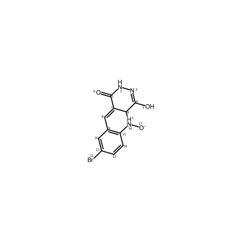 O=C1NN=C(O)C2C1=Cc1cc(Br)ccc1[NH+]2[O-]